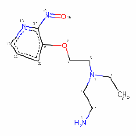 CCN(CCN)CCOc1cccnc1N=O